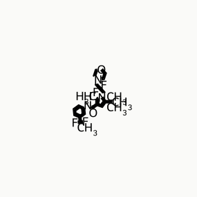 Cc1c(C(=O)Nc2cccc(C(C)(F)F)c2)cc(C(C)(C)C)n1CC(F)(F)CN1CCOCC1